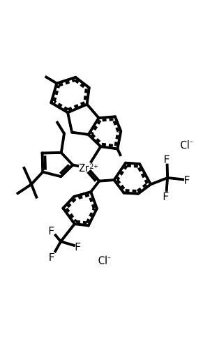 CCC1C=C(C(C)(C)C)C=[C]1[Zr+2](=[C](c1ccc(C(F)(F)F)cc1)c1ccc(C(F)(F)F)cc1)[c]1c(C)ccc2c1Cc1cc(C)ccc1-2.[Cl-].[Cl-]